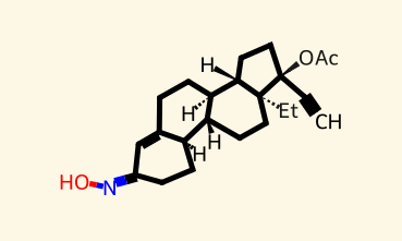 C#C[C@@]1(OC(C)=O)CC[C@H]2[C@@H]3CCC4=CC(=NO)CC[C@@H]4[C@H]3CC[C@@]21CC